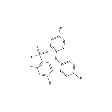 CC(C)c1ccc([I+]c2ccc(C(C)C)cc2)cc1.O=S(=O)([O-])c1ccc(F)cc1F